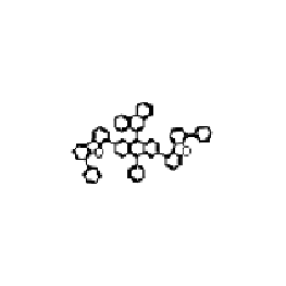 c1ccc(-c2c3cc(-c4cccc5oc6c(-c7ccccc7)cccc6c45)ccc3c(-c3cc4ccccc4c4ccccc34)c3cc(-c4cccc5c4oc4c(-c6ccccc6)cccc45)ccc23)cc1